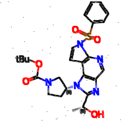 C[C@@H](O)c1nc2cnc3c(ccn3S(=O)(=O)c3ccccc3)c2n1[C@@H]1CCN(C(=O)OC(C)(C)C)C1